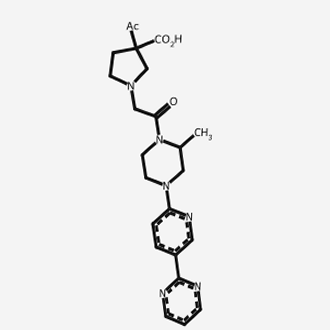 CC(=O)C1(C(=O)O)CCN(CC(=O)N2CCN(c3ccc(-c4ncccn4)cn3)CC2C)C1